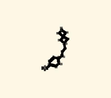 Nc1ccc(OCCN2CC3(COC3)C2)nc1